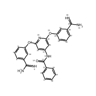 N=C(N)c1cccc(Oc2cc(NC(=O)c3ccccc3)cc(Oc3cccc(C(=N)N)c3)n2)c1